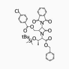 C[C@@H](O[Si](C)(C)C(C)(C)C)C(C(=O)OCc1ccccc1)N1C(=O)C(N2C(=O)c3ccccc3C2=O)C1COC(=O)c1ccc(Cl)cc1